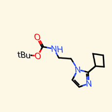 CC(C)(C)OC(=O)NCCn1ccnc1C1CCC1